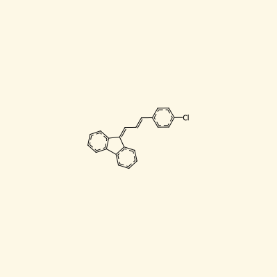 Clc1ccc(C=CC=C2c3ccccc3-c3ccccc32)cc1